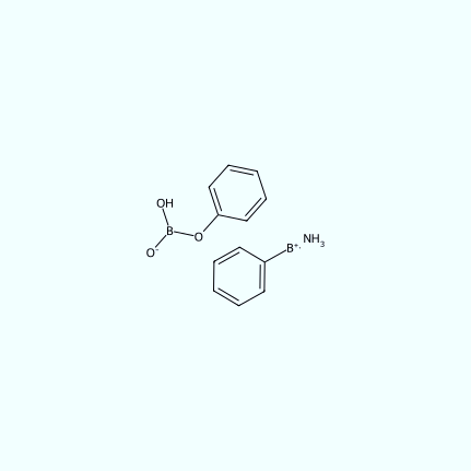 N.[B+]c1ccccc1.[O-]B(O)Oc1ccccc1